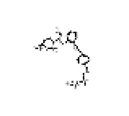 CC(C)(CNc1ccc(COc2cccc3c2CN(C2CCC(=O)NC2=O)C3=O)cc1)C(=O)O